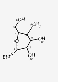 CCSC1OC(CO)C(C)C(O)C1O